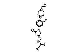 O=CN1CCN(c2ccc(N3C[C@H](CNC(=S)C4CC4)OC3=O)cc2F)CC1